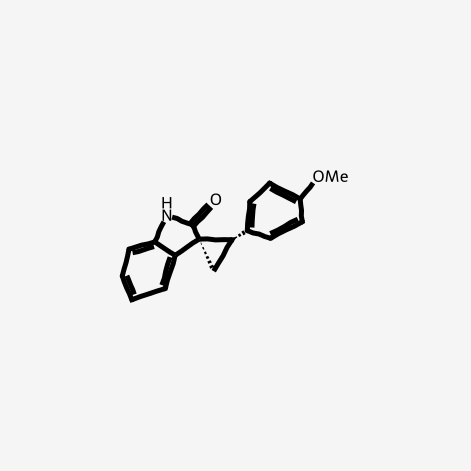 COc1ccc([C@@H]2C[C@]23C(=O)Nc2ccccc23)cc1